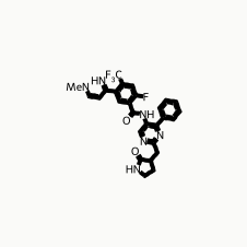 CN/C=C\C(=N)c1cc(C(=O)Nc2cnc(CC3CCNC3=O)nc2-c2ccccc2)c(F)cc1C(F)(F)F